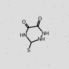 O=C1NNC([S])NC1=O